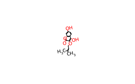 CC(C)=CCOc1c(O)c2ccc(O)cc2oc1=O